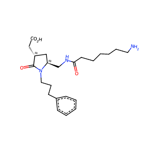 NCCCCCCC(=O)NC[C@@H]1C[C@@H](CC(=O)O)C(=O)N1CCCc1ccccc1